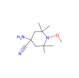 CON1C(C)(C)CC(N)(C#N)CC1(C)C